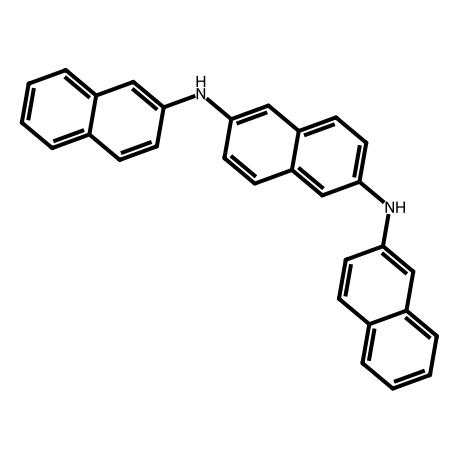 c1ccc2cc(Nc3ccc4cc(Nc5ccc6ccccc6c5)ccc4c3)ccc2c1